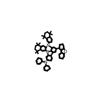 CC1(C)CCC(C)(C)c2cc(N3c4cc5c(cc4B4c6cc(N(c7ccccc7)c7ccccc7)ccc6-c6cc(-c7cccc8oc9ccccc9c78)cc3c64)C(C)(C)CCC5(C)C)ccc21